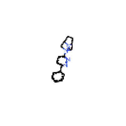 CN1C2CCC1CN(c1ccc(-c3ccccc3)nn1)C2